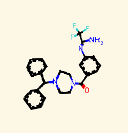 N/C(=N\c1cccc(C(=O)N2CCN(C(c3ccccc3)c3ccccc3)CC2)c1)C(F)(F)F